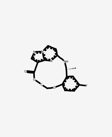 C[C@H]1Nc2ccn3ncc(c3n2)C(=O)OCCOc2ccc(F)cc21